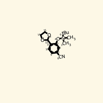 CC(C)(C)[Si](C)(C)Oc1cc(C#N)ccc1C1OCCO1